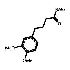 CNC(=O)CCCc1ccc(OC)c(OC)c1